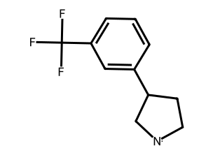 FC(F)(F)c1cccc(C2CC[N]C2)c1